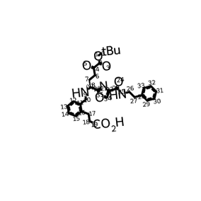 CC(C)(C)OC(=O)C(=O)CC[C@H](NCc1ccccc1CCC(=O)O)c1nc(C(=O)NCCc2ccccc2)co1